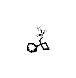 CS(=O)(=O)OCC1(c2ccccc2)CCC1